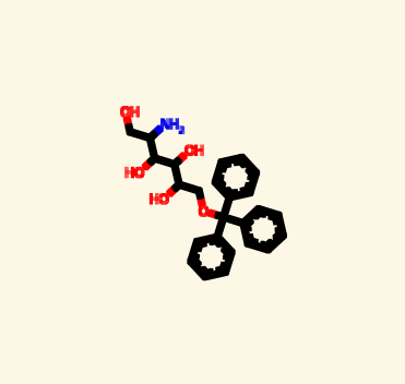 NC(CO)C(O)C(O)C(O)COC(c1ccccc1)(c1ccccc1)c1ccccc1